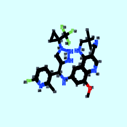 COc1cc(N[C@H](C2=CN(C3(C(F)(F)F)CC3)NN2)c2ccc(F)nc2C)cc2c(NCC(C)(C)C)c(C#N)cnc12